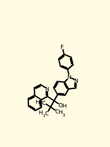 CC(C)(C)C(O)(c1ccc2c(cnn2-c2ccc(F)cc2)c1)c1nccc2ccccc12